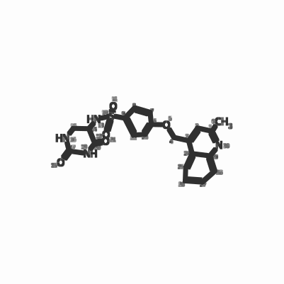 Cc1cc(COc2ccc(S(=O)(=O)NC3CNC(=O)NC3=O)cc2)c2ccccc2n1